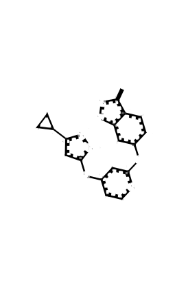 O=c1[nH][nH]c2cc(Sc3cc(Nc4cc(C5CC5)[nH]n4)ccn3)ccc12